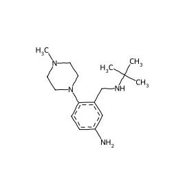 CN1CCN(c2ccc(N)cc2CNC(C)(C)C)CC1